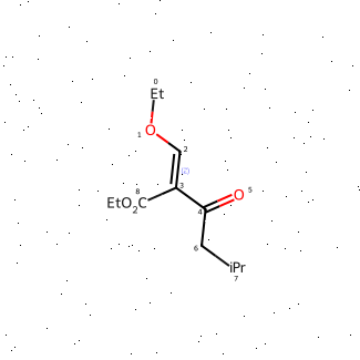 CCO/C=C(/C(=O)CC(C)C)C(=O)OCC